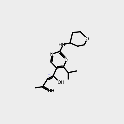 CC(=N)/C=C(\O)c1cnc(NC2CCOCC2)nc1C(C)C